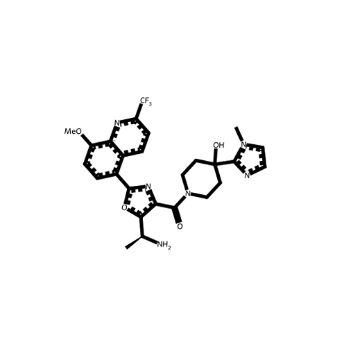 COc1ccc(-c2nc(C(=O)N3CCC(O)(c4nccn4C)CC3)c([C@H](C)N)o2)c2ccc(C(F)(F)F)nc12